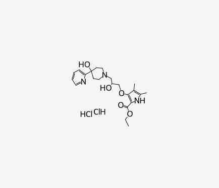 CCOC(=O)c1[nH]c(C)c(C)c1OCC(O)CN1CCC(O)(c2ccccn2)CC1.Cl.Cl